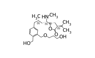 CN[C@@H](C[C@@H](C)Cc1ccc(CO)c(COCCCO)c1)[C@@H]1C[C@@H](C(C)C)C(=O)O1